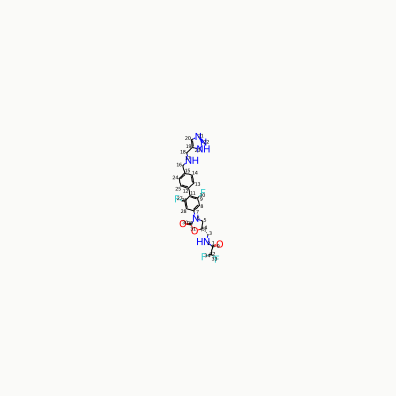 O=C(NC[C@H]1CN(c2cc(F)c(-c3ccc(CNCc4cnn[nH]4)cc3)c(F)c2)C(=O)O1)C(F)F